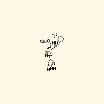 Cc1n[nH]c2ncc(-c3nnc(NC[C@H](Cc4cccc(C(F)(F)F)c4)NC(=O)OC(C)(C)C)s3)cc12